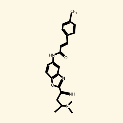 CC(CC(=N)c1nc2cc(NC(=O)C=Cc3ccc(C(F)(F)F)cc3)ccc2o1)N(C)C